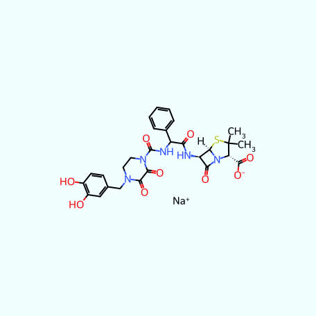 CC1(C)S[C@@H]2[C@H](NC(=O)C(NC(=O)N3CCN(Cc4ccc(O)c(O)c4)C(=O)C3=O)c3ccccc3)C(=O)N2[C@H]1C(=O)[O-].[Na+]